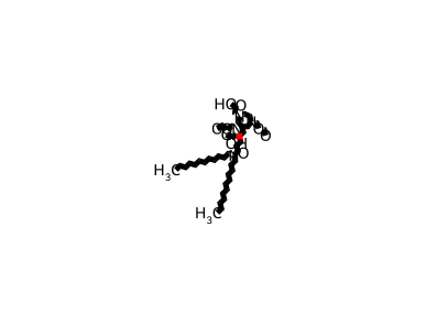 CCCCCCCCCCCCN(CCCCCCCCCCCC)C(=O)CCCCC1(N(COC=O)CC(=O)O)CN(COC=O)CCN(CC(=O)O)C1